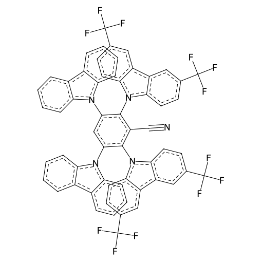 N#Cc1c(-n2c3ccc(C(F)(F)F)cc3c3cc(C(F)(F)F)ccc32)c(-n2c3ccccc3c3ccccc32)cc(-n2c3ccccc3c3ccccc32)c1-n1c2ccc(C(F)(F)F)cc2c2cc(C(F)(F)F)ccc21